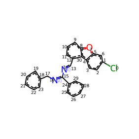 Clc1ccc2c(c1)oc1cccc(/C=N/C(=N\Cc3ccccc3)c3ccccc3)c12